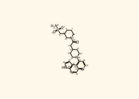 NS(=O)(=O)CC1CCCN(C(=O)CC2CCN(c3ccnc4cnc5[nH]ccc5c34)CC2)C1